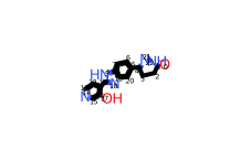 O=C1CCC(c2ccc3[nH]c(-c4ccncc4O)nc3c2)=NN1